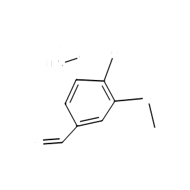 COc1cc(C=O)ccc1O.Cl.NO